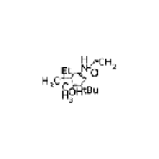 C=CC(=O)Nc1cc(C(C)(C)C)c(O)c(C(C)(C)CC)c1